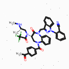 CN[C@@H](C)CN(C(=O)C(F)(F)F)[C@H]1CN(C(=O)c2ccc(C(C)=O)cc2)c2ccccc2N(Cc2nn(-c3ccccc3C#N)c3ccccc23)C1=O